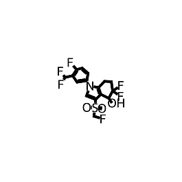 O=S(=O)(CF)c1cn(-c2ccc(F)c(C(F)F)c2)c2c1C(O)C(F)(F)CC2